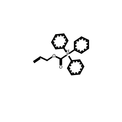 C=CCOC(=O)[PH](c1ccccc1)(c1ccccc1)c1ccccc1